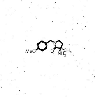 COc1ccc(CN2CC[C@@](C)(N)C2=O)cc1